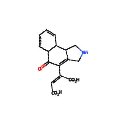 O=C(O)/C=C(\C(=O)O)C1=C2CNCC2C2C=CC=CC2C1=O